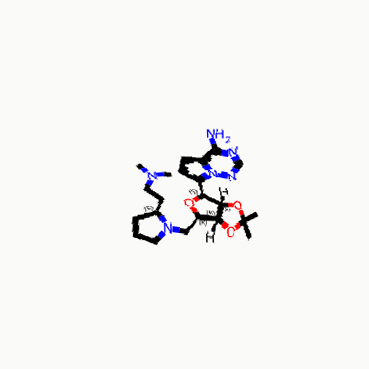 CN(C)CC[C@@H]1CCCN1C[C@H]1O[C@@H](c2ccc3c(N)ncnn23)[C@@H]2OC(C)(C)O[C@@H]21